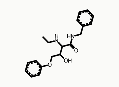 CCNC(C(=O)NCc1ccccc1)C(O)COc1ccccc1